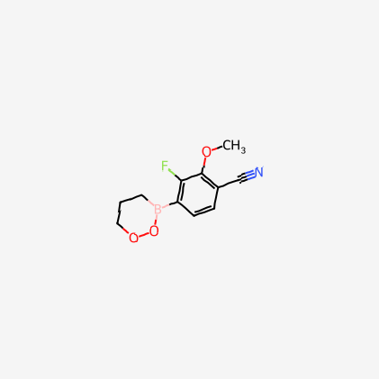 COc1c(C#N)ccc(B2CCCOO2)c1F